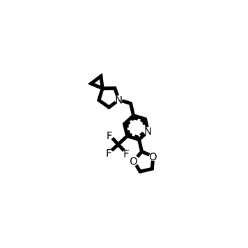 FC(F)(F)c1cc(CN2CCC3(CC3)C2)cnc1C1OCCO1